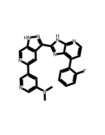 CN(C)c1cncc(-c2cc3c(-c4nc5c(-c6ccccc6F)ccnc5[nH]4)n[nH]c3cn2)c1